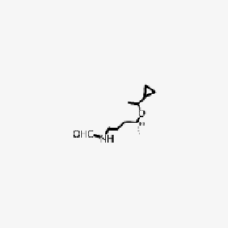 CC(O[C@H](C)CCCNC=O)C1CC1